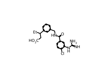 CCC(CC(=O)O)c1cccc(CNC(=O)c2ccc(Cl)c(NC(=N)N)c2)c1